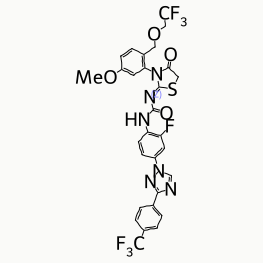 COc1ccc(COCC(F)(F)F)c(N2C(=O)CS/C2=N\C(=O)Nc2ccc(-n3cnc(-c4ccc(C(F)(F)F)cc4)n3)cc2F)c1